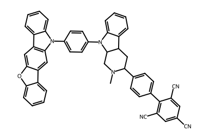 CN1CC2C(CC1c1ccc(-c3c(C#N)cc(C#N)cc3C#N)cc1)c1ccccc1N2c1ccc(-n2c3ccccc3c3cc4oc5ccccc5c4cc32)cc1